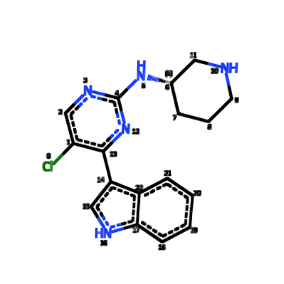 Clc1cnc(N[C@H]2CCCNC2)nc1-c1c[nH]c2ccccc12